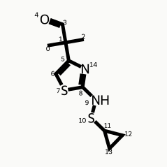 CC(C)(C=O)c1csc(NSC2CC2)n1